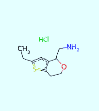 CCc1cc2c(s1)CCOC2CN.Cl